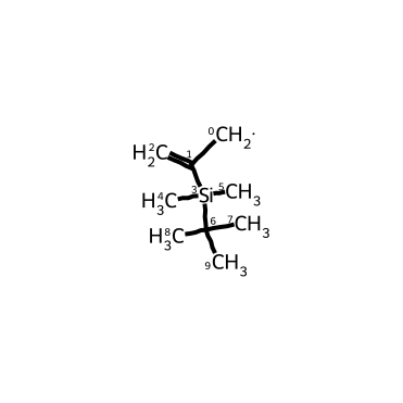 [CH2]C(=C)[Si](C)(C)C(C)(C)C